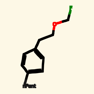 CCCCCc1ccc(CCOCF)cc1